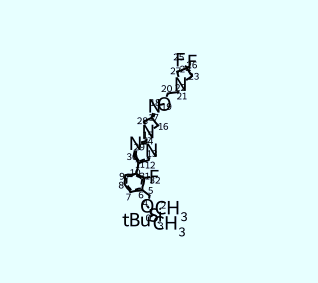 CC(C)(C)[Si](C)(C)OCc1cccc(-c2cnc(N3CC(=NOCCN4CC(F)(F)C4)C3)nc2)c1F